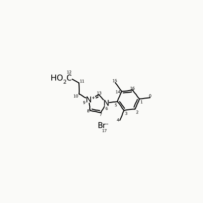 Cc1cc(C)c(-n2cc[n+](CCC(=O)O)c2)c(C)c1.[Br-]